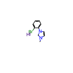 CN1C=CN(c2ccccc2Br)C1.I